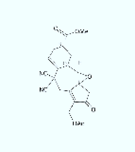 COC(=O)[C@H]1CC=C2[C@@H](C1)C1OC13CC(=O)C(COC(C)=O)=C3CC2(C#N)C#N